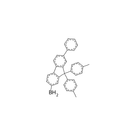 Bc1ccc2c(c1)C(c1ccc(C)cc1)(c1ccc(C)cc1)c1cc(-c3ccccc3)ccc1-2